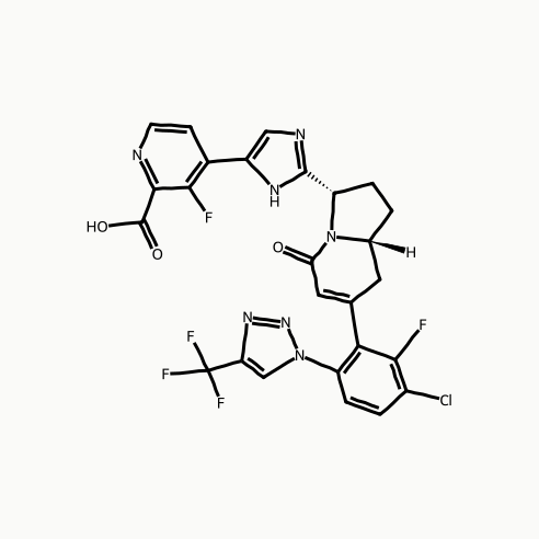 O=C(O)c1nccc(-c2cnc([C@@H]3CC[C@@H]4CC(c5c(-n6cc(C(F)(F)F)nn6)ccc(Cl)c5F)=CC(=O)N43)[nH]2)c1F